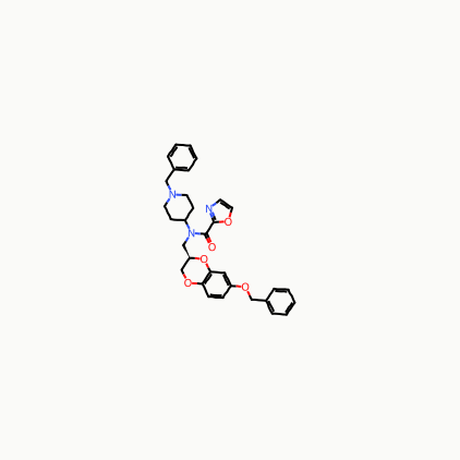 O=C(c1ncco1)N(C[C@@H]1COc2ccc(OCc3ccccc3)cc2O1)C1CCN(Cc2ccccc2)CC1